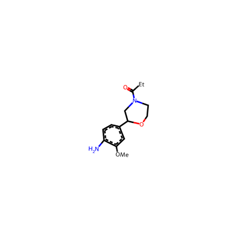 CCC(=O)N1CCOC(c2ccc(N)c(OC)c2)C1